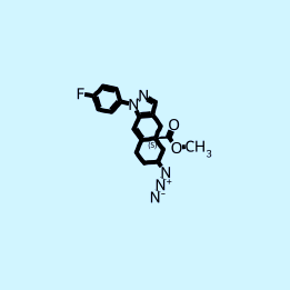 COC(=O)[C@]12Cc3cnn(-c4ccc(F)cc4)c3C=C1CCC(N=[N+]=[N-])C2